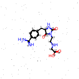 N=C(N)c1ccc(CC2NC(=O)N(CCNCC(=O)O)C2=O)cc1